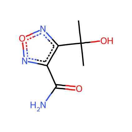 CC(C)(O)c1nonc1C(N)=O